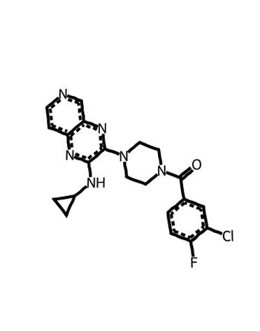 O=C(c1ccc(F)c(Cl)c1)N1CCN(c2nc3cnccc3nc2NC2CC2)CC1